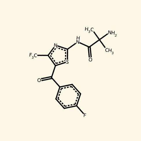 CC(C)(N)C(=O)Nc1nc(C(F)(F)F)c(C(=O)c2ccc(F)cc2)s1